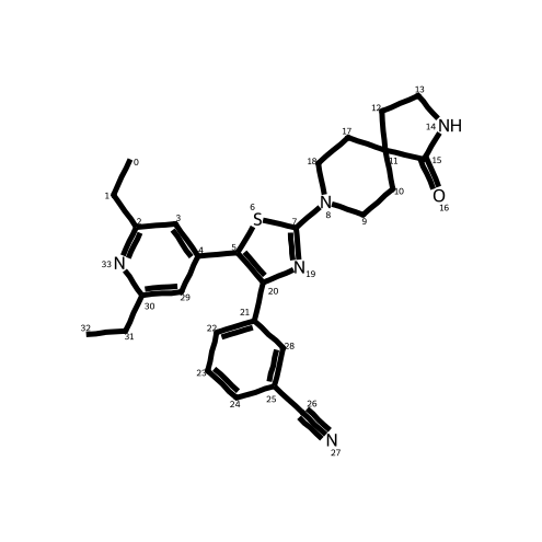 CCc1cc(-c2sc(N3CCC4(CCNC4=O)CC3)nc2-c2cccc(C#N)c2)cc(CC)n1